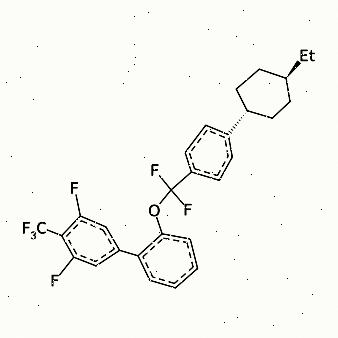 CC[C@H]1CC[C@H](c2ccc(C(F)(F)Oc3ccccc3-c3cc(F)c(C(F)(F)F)c(F)c3)cc2)CC1